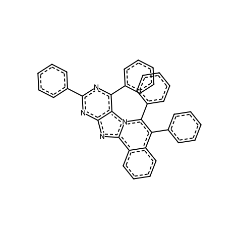 c1ccc(-c2nc(-c3ccccc3)c3c(n2)nc2c4ccccc4c(-c4ccccc4)c(-c4ccccc4)n23)cc1